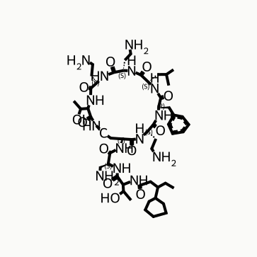 CCC(CC(=O)NC(C(=O)N[C@@H](CN)C(=O)N[C@H]1CCNC(=O)C(C(C)O)NC(=O)[C@H](CCN)NC(=O)[C@H](CCN)NC(=O)[C@H](CC(C)C)NC(=O)[C@@H](Cc2ccccc2)NC(=O)[C@H](CCN)NC1=O)C(C)O)C1CCCCC1